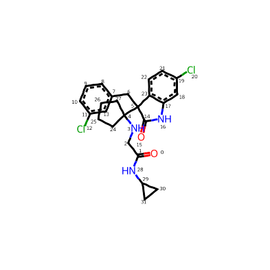 O=C(CNC1(C2(Cc3cccc(Cl)c3)C(=O)Nc3cc(Cl)ccc32)CCCC1)NC1CC1